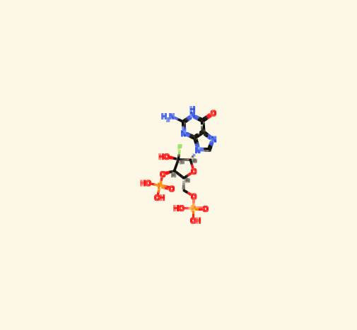 Nc1nc2c(ncn2[C@@H]2O[C@H](COP(=O)(O)O)[C@@H](OP(=O)(O)O)[C@]2(O)F)c(=O)[nH]1